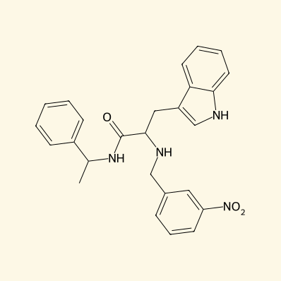 CC(NC(=O)C(Cc1c[nH]c2ccccc12)NCc1cccc([N+](=O)[O-])c1)c1ccccc1